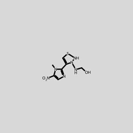 Cn1c([N+](=O)[O-])cnc1C1=CSNN1NCO